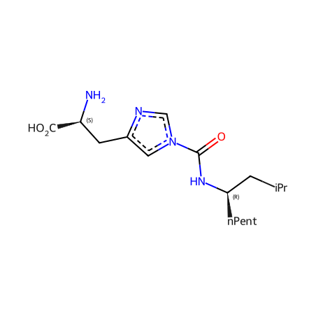 CCCCC[C@H](CC(C)C)NC(=O)n1cnc(C[C@H](N)C(=O)O)c1